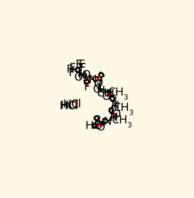 CN(Cc1ccc(C(=O)N(C)CCCN(C)C(=O)CO[C@H]2Cc3ccccc3C23CCN(CC[C@@]2(c4ccc(F)cc4)CN(C(=O)c4cc(C(F)(F)F)cc(C(F)(F)F)c4)CO2)CC3)cc1)Cc1cccc(C(=O)N(C)CCN2CCC(N(C(=O)O)c3ccccc3-c3ccccc3)CC2)c1.Cl.Cl.Cl